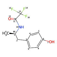 C[C@H](Cc1ccc(O)cc1)NC(=O)C(F)(F)F